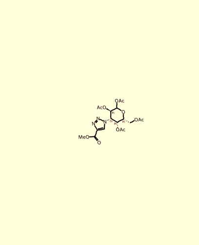 COC(=O)c1cn([C@H]2[C@@H](OC(C)=O)[C@@H](COC(C)=O)OC(OC(C)=O)[C@@H]2OC(C)=O)nn1